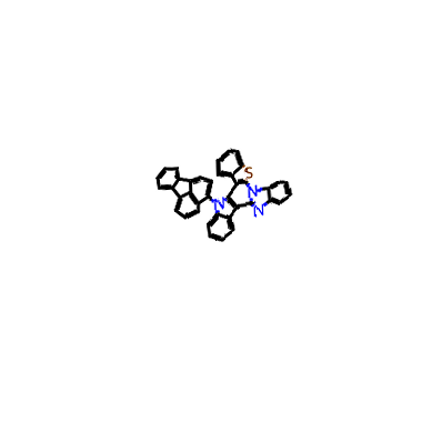 c1ccc2c(c1)-c1cccc3c(-n4c5ccccc5c5c4c4c6ccccc6sc4n4c6ccccc6nc54)ccc-2c13